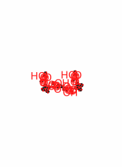 C=CC(=O)OC(COC(=O)c1cc(-c2ccc(C(=O)O)c(C(=O)OCC(COc3ccc(C4(c5ccc(OCC(COC(=O)C6CC=CCC6C(=O)O)OC(=O)C=C)cc5)c5ccccc5-c5ccccc54)cc3)OC(=O)C=C)c2)ccc1C(=O)O)COc1ccc(C2(c3ccc(OCC(COC(=O)C4CC=CCC4C(=O)O)OC(=O)C=C)cc3)c3ccccc3-c3ccccc32)cc1